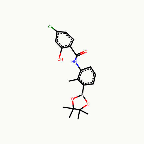 Cc1c(NC(=O)c2ccc(Cl)cc2O)cccc1B1OC(C)(C)C(C)(C)O1